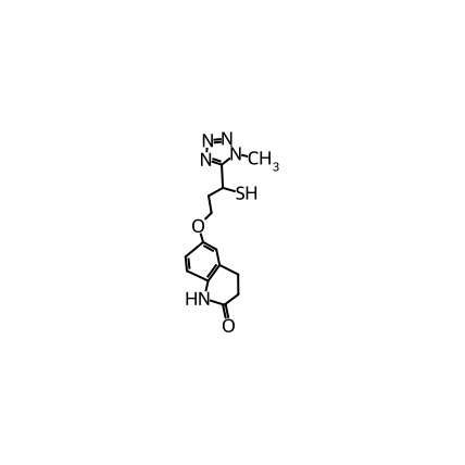 Cn1nnnc1C(S)CCOc1ccc2c(c1)CCC(=O)N2